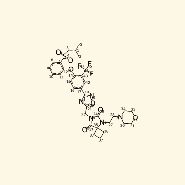 CC(C)CS(=O)(=O)c1ccccc1Oc1ccc(-c2noc(CN3C(=O)N(CCN4CCOCC4)C4(CCC4)C3=O)n2)cc1C(F)(F)F